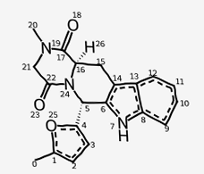 Cc1ccc([C@H]2c3[nH]c4ccccc4c3C[C@@H]3C(=O)N(C)CC(=O)N23)o1